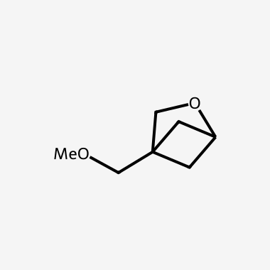 COCC12COC(C1)C2